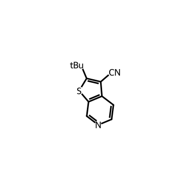 CC(C)(C)c1sc2cnccc2c1C#N